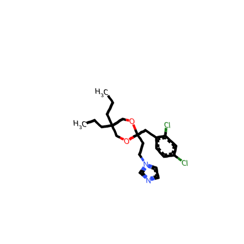 CCCC1(CCC)COC(CCn2ccnc2)(Cc2ccc(Cl)cc2Cl)OC1